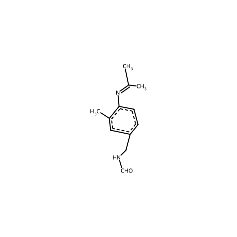 CC(C)=Nc1ccc(CNC=O)cc1C